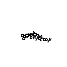 C=C(C)/C(CC(=O)O)=C(/C)N(N)Cc1ccc(NC(=O)c2ccc(Cl)c(Cl)c2)c(C)c1